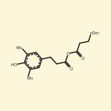 CCCCCCCCCCCCC(=O)OC(=O)CCc1cc(C(C)(C)C)c(O)c(C(C)(C)C)c1